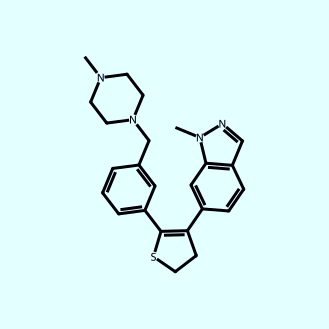 CN1CCN(Cc2cccc(C3=C(c4ccc5cnn(C)c5c4)CCS3)c2)CC1